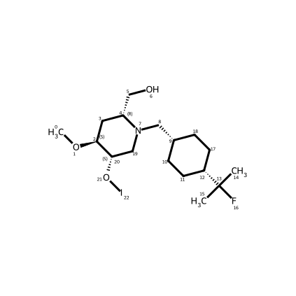 CO[C@H]1C[C@H](CO)N(C[C@H]2CC[C@@H](C(C)(C)F)CC2)C[C@@H]1OI